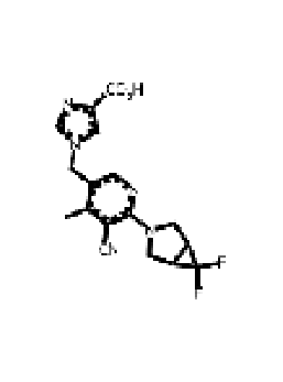 Cc1c(Cn2cnc(C(=O)O)c2)cnc(N2CC3C(C2)C3(F)F)c1C#N